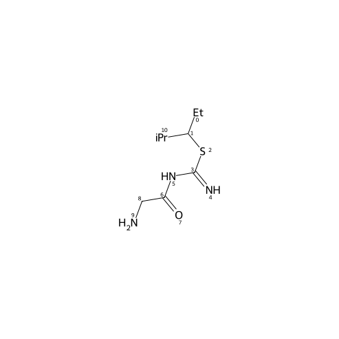 CCC(SC(=N)NC(=O)CN)C(C)C